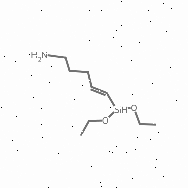 CCO[SiH](C=CCCCN)OCC